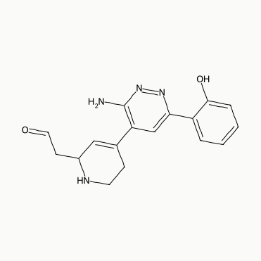 Nc1nnc(-c2ccccc2O)cc1C1=CC(CC=O)NCC1